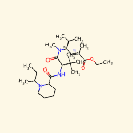 CCOC(=O)/C(C)=C/[C@H](C(C)C)N(C)C(=O)C(NC(=O)C1CCCCN1C(C)CC)C(C)(C)C